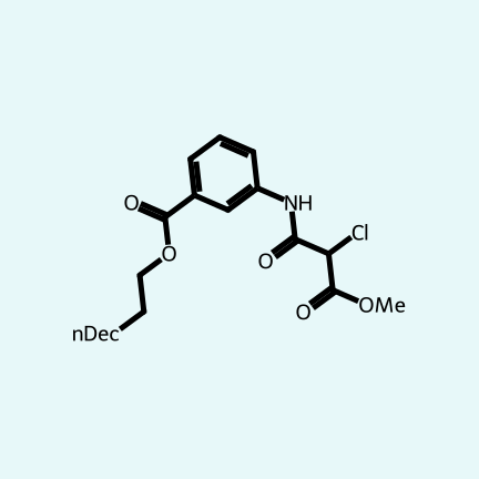 CCCCCCCCCCCCOC(=O)c1cccc(NC(=O)C(Cl)C(=O)OC)c1